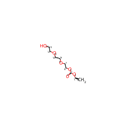 C=COC(=O)OCCOCCOCCO